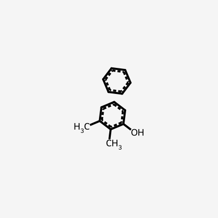 Cc1cccc(O)c1C.c1ccccc1